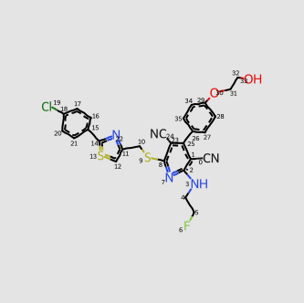 N#Cc1c(NCCF)nc(SCc2csc(-c3ccc(Cl)cc3)n2)c(C#N)c1-c1ccc(OCCO)cc1